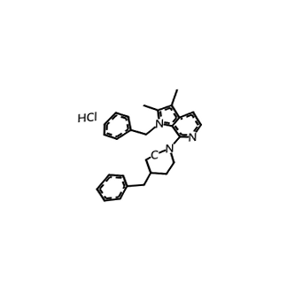 Cc1c(C)n(Cc2ccccc2)c2c(N3CCC(Cc4ccccc4)CC3)nccc12.Cl